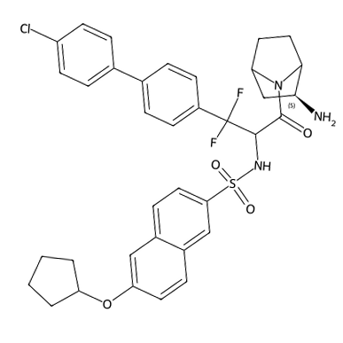 N[C@H]1CC2CCC1N2C(=O)C(NS(=O)(=O)c1ccc2cc(OC3CCCC3)ccc2c1)C(F)(F)c1ccc(-c2ccc(Cl)cc2)cc1